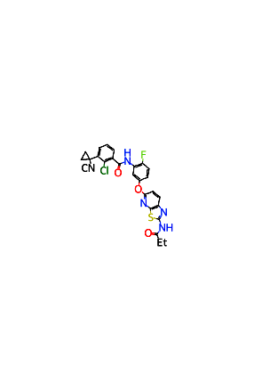 CCC(=O)Nc1nc2ccc(Oc3ccc(F)c(NC(=O)c4cccc(C5(C#N)CC5)c4Cl)c3)nc2s1